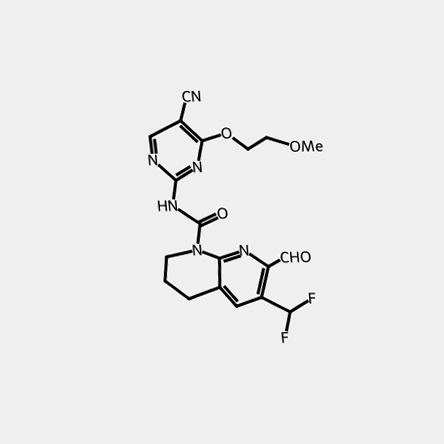 COCCOc1nc(NC(=O)N2CCCc3cc(C(F)F)c(C=O)nc32)ncc1C#N